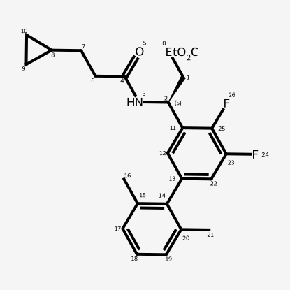 CCOC(=O)C[C@H](NC(=O)CCC1CC1)c1cc(-c2c(C)cccc2C)cc(F)c1F